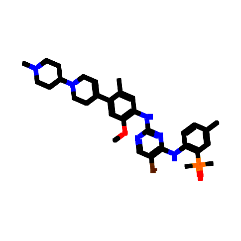 COc1cc(C2=CCN(C3CCN(C)CC3)CC2)c(C)cc1Nc1ncc(Br)c(Nc2ccc(C)cc2P(C)(C)=O)n1